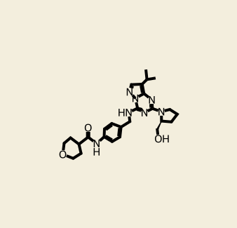 CC(C)c1cnn2c(NCc3ccc(NC(=O)C4CCOCC4)cc3)nc(N3CCC[C@H]3CO)nc12